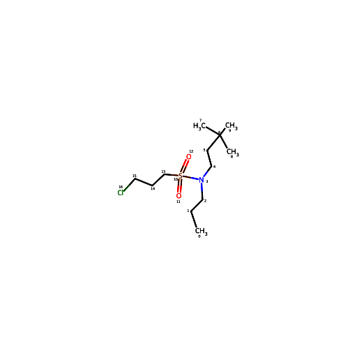 CCCN(CCC(C)(C)C)S(=O)(=O)CCCCl